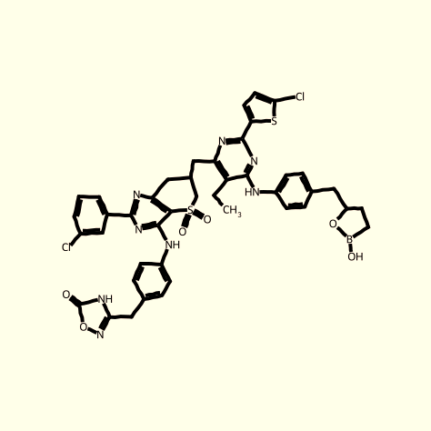 CCc1c(CC2Cc3nc(-c4cccc(Cl)c4)nc(Nc4ccc(Cc5noc(=O)[nH]5)cc4)c3S(=O)(=O)C2)nc(-c2ccc(Cl)s2)nc1Nc1ccc(CC2CCB(O)O2)cc1